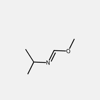 COC=NC(C)C